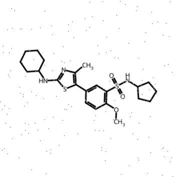 COc1ccc(-c2sc(NC3CCCCC3)nc2C)cc1S(=O)(=O)NC1CCCC1